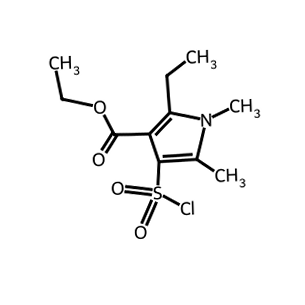 CCOC(=O)c1c(S(=O)(=O)Cl)c(C)n(C)c1CC